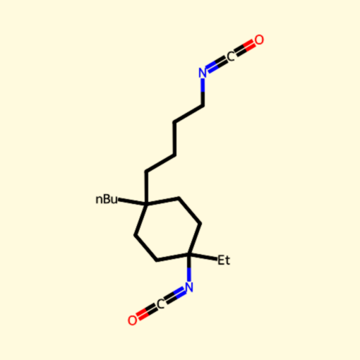 CCCCC1(CCCCN=C=O)CCC(CC)(N=C=O)CC1